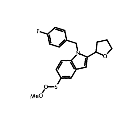 COOSc1ccc2c(c1)cc(C1CCCO1)n2Cc1ccc(F)cc1